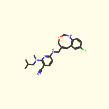 CC(C)CN(C)c1nc(NC/C2=C/c3cc(Cl)ccc3NCOC2)ccc1C#N